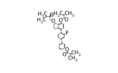 C=C(C)C(=O)COC1CCc2c(-c3ccc(-c4cccc(OC(=O)C(=C)C)c4)cc3F)ccc(OC(=O)C(=C)C)c21